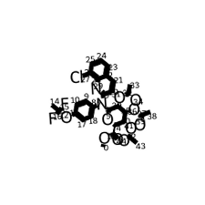 COC(=O)[C@H]1O[C@@H](N(c2ccc(OC(C)(F)F)cc2)c2ccc3cccc(Cl)c3n2)[C@H](OC(C)=O)[C@@H](OC(C)=O)[C@@H]1OC(C)=O